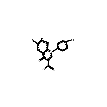 O=C(O)c1cn(-c2ccc(O)cc2)c2cc(F)c(F)cc2c1=O